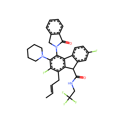 CC=CCc1c(F)c(N2CCCCC2)c(N2Cc3ccccc3C2=O)c2c1C(C(=O)NCC(F)(F)F)c1cc(F)ccc1-2